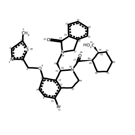 Cc1cnc(COc2ccc(Br)c3c2[C@@H](CN2Cc4ccccc4C2=O)N(C(=O)[C@@H]2CCCC[C@@H]2C(=O)O)CC3)s1